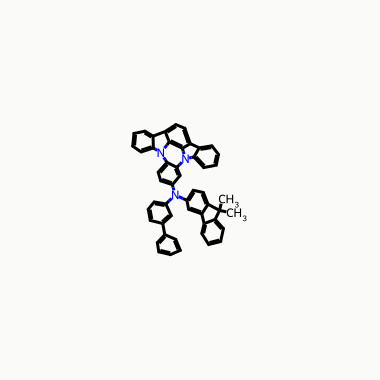 CC1(C)c2ccccc2-c2cc(N(c3cccc(-c4ccccc4)c3)c3ccc4c(c3)n3c5ccccc5c5ccc6c7ccccc7n4c6c53)ccc21